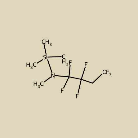 CN(C(F)(F)C(F)(F)CC(F)(F)F)[Si](C)(C)C